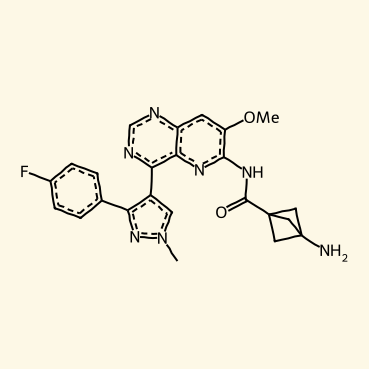 COc1cc2ncnc(-c3cn(C)nc3-c3ccc(F)cc3)c2nc1NC(=O)C12CC(N)(C1)C2